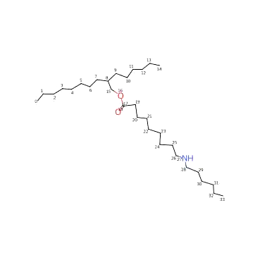 CCCCCCCCC(CCCCCC)COC(=O)CCCCCCCCNCCCCCC